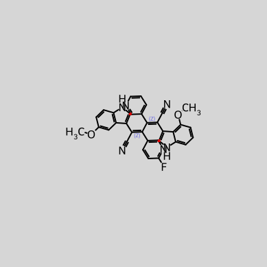 COc1ccc2[nH]cc(/C(C#N)=C(\C(=C(\C#N)c3c[nH]c4cccc(OC)c34)c3cccnc3)c3ccc(F)nc3)c2c1